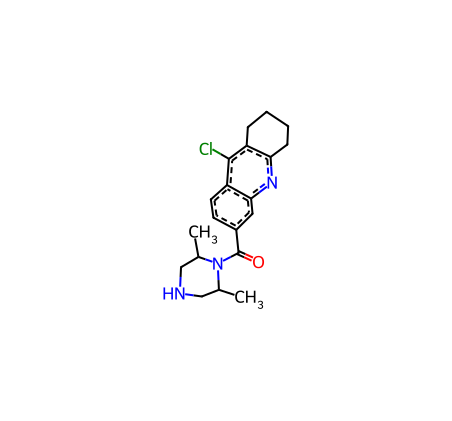 CC1CNCC(C)N1C(=O)c1ccc2c(Cl)c3c(nc2c1)CCCC3